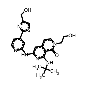 CC(C)(C)Nc1nc(Nc2cc(-c3nc(CO)cs3)ccn2)cc2ccn(CCO)c(=O)c12